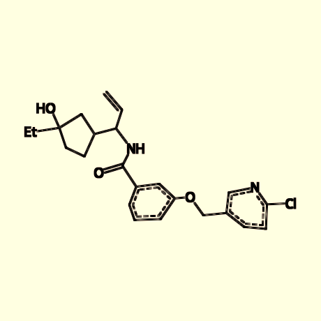 C=CC(NC(=O)c1cccc(OCc2ccc(Cl)nc2)c1)C1CCC(O)(CC)C1